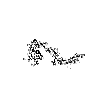 CC[C@H](C)[C@H](NC(=O)C(C)(C)NC(=O)[C@H](CCC(N)=O)NC(=O)C(C)(C)NC(=O)C(C)(C)NC(=O)[C@H](C)NC(=O)C(C)(C)NC(=O)[C@H](C)NC(=O)C(C)(C)NC(C)=O)C(=O)NC(C)(C)C(=O)NCC(=O)N[C@@H](CC(C)C)C(=O)NC(C)(C)C(=O)N1CCC[C@H]1C(=O)N[C@H](C(=O)NC(C)(C)C(=O)N[C@@](C)(CC)C(=O)N[C@@H](CCC(N)=O)C(=O)N[C@@H](CCC(N)=O)C(=O)NC(CO)Cc1ccccc1)C(C)C